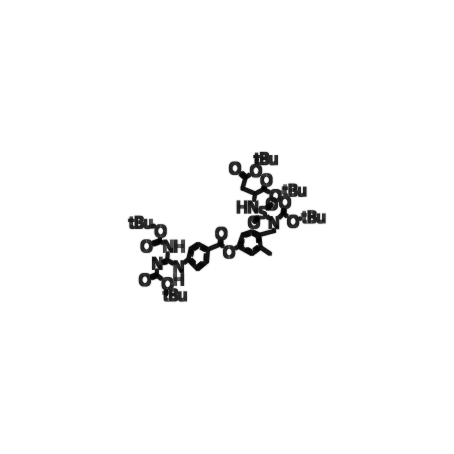 Cc1cc(OC(=O)c2ccc(NC(=NC(=O)OC(C)(C)C)NC(=O)OC(C)(C)C)cc2)ccc1CN(C(=O)OC(C)(C)C)S(=O)(=O)NC(CC(=O)OC(C)(C)C)C(=O)OC(C)(C)C